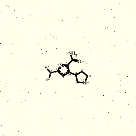 NC(=O)c1sc(C(F)F)cc1C1CCNC1